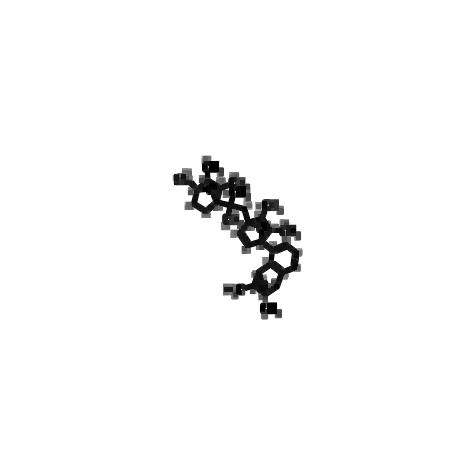 CC1=C(C)C2OC1c1cccc(C34C=CC(CC(C)(C)C56CCC(C(C)(C)C)(O5)C(C)=C6C)(O3)C(C)=C4C)c12